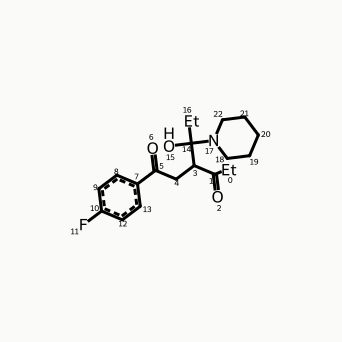 CCC(=O)C(CC(=O)c1ccc(F)cc1)C(O)(CC)N1CCCCC1